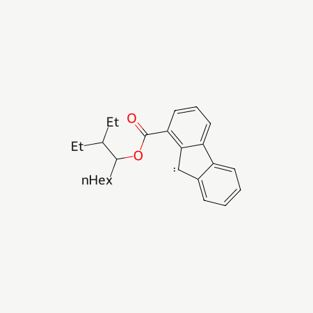 CCCCCCC(OC(=O)c1cccc2c1[C]c1ccccc1-2)C(CC)CC